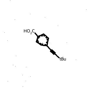 CC(C)(C)C#Cc1ccc(C(=O)O)cc1